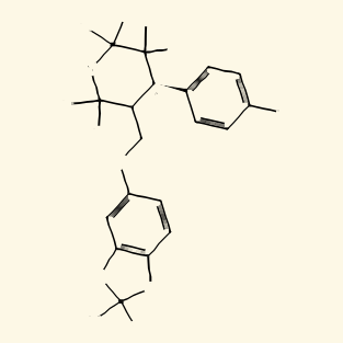 [2H]C1([2H])Oc2ccc(OCC3[C@H](c4ccc(F)cc4)C([2H])([2H])C([2H])([2H])NC3([2H])[2H])cc2O1